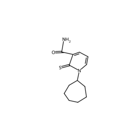 NC(=O)c1cccn(C2CCCCCC2)c1=S